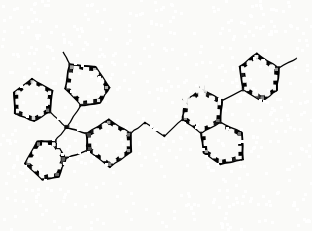 Cc1ccc(-c2nnc(CCc3ccc4c(c3)C(c3ccccc3)(c3cccc(C)c3)c3ccccc3-4)c3ccccc23)cc1